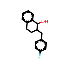 OC1c2ccccc2CCC1Cc1ccc(F)cc1